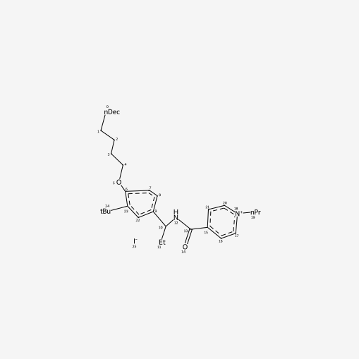 CCCCCCCCCCCCCCOc1ccc(C(CC)NC(=O)c2cc[n+](CCC)cc2)cc1C(C)(C)C.[I-]